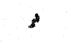 C[C@@H]1CN(c2cc(-n3ncc4cnc(C5(C)CCC5)cc43)ncn2)C[C@H](C)[C@]1(C)O